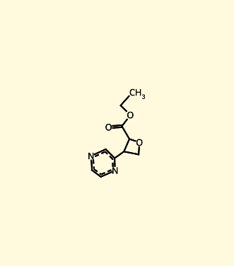 CCOC(=O)C1OCC1c1cnccn1